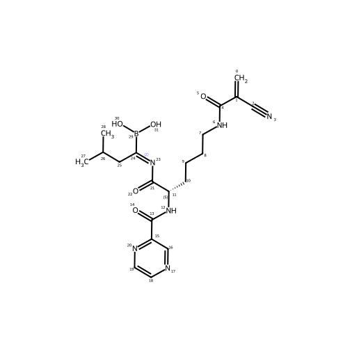 C=C(C#N)C(=O)NCCCC[C@H](NC(=O)c1cnccn1)C(=O)/N=C(\CC(C)C)B(O)O